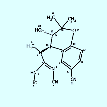 CCNC(=NC#N)N(C)[C@@H]1c2cc(C#N)ccc2OC(C)(C)[C@H]1O